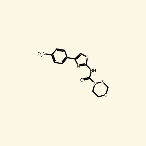 O=C(Nc1nc(-c2ccc([N+](=O)[O-])cc2)cs1)N1CCOCS1